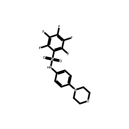 O=S(=O)(Nc1ccc(N2CCOCC2)cc1)c1c(F)c(F)c(F)c(F)c1F